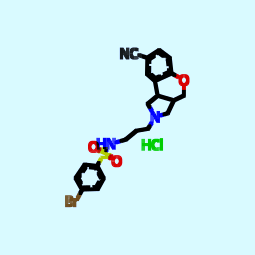 Cl.N#Cc1ccc2c(c1)C1CN(CCCNS(=O)(=O)c3ccc(Br)cc3)CC1CO2